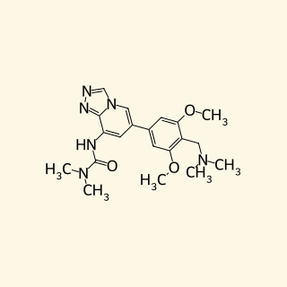 COc1cc(-c2cc(NC(=O)N(C)C)c3nncn3c2)cc(OC)c1CN(C)C